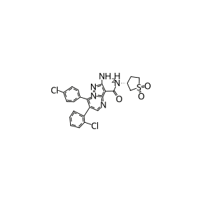 Nc1nn2c(-c3ccc(Cl)cc3)c(-c3ccccc3Cl)cnc2c1C(=O)N[C@@H]1CCS(=O)(=O)C1